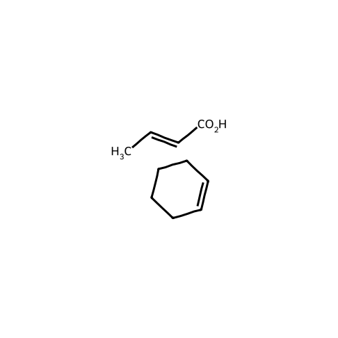 C1=CCCCC1.CC=CC(=O)O